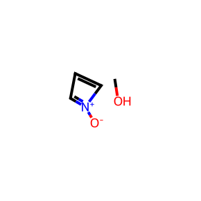 CO.[O-][N+]1=CC=C1